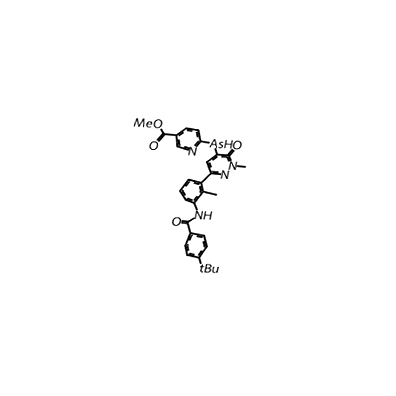 COC(=O)c1ccc([AsH]c2cc(-c3cccc(NC(=O)c4ccc(C(C)(C)C)cc4)c3C)nn(C)c2=O)nc1